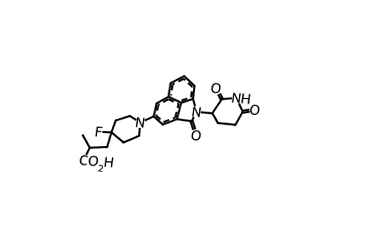 CC(CC1(F)CCN(c2cc3c4c(cccc4c2)N(C2CCC(=O)NC2=O)C3=O)CC1)C(=O)O